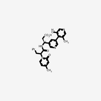 Cc1ccn(C(CC(C)C)C(=O)N[C@@H](CC(=O)O)c2cncc(-c3c(C)cncc3C)c2)c(=O)c1